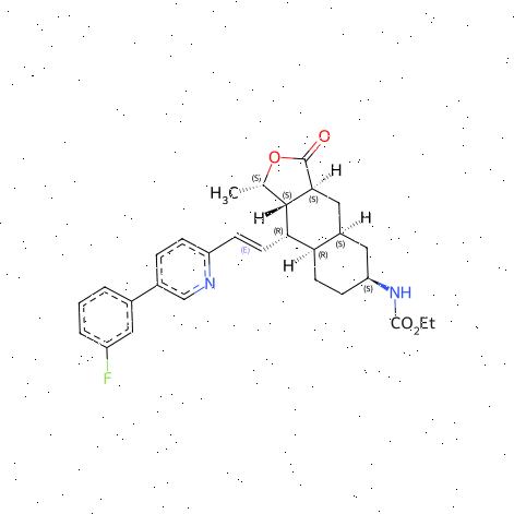 CCOC(=O)N[C@H]1CC[C@@H]2[C@H](C1)C[C@@H]1C(=O)O[C@@H](C)[C@H]1[C@H]2/C=C/c1ccc(-c2cccc(F)c2)cn1